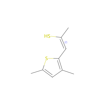 C/C(S)=C/c1sc(C)cc1C